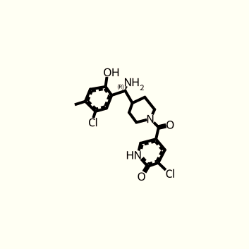 Cc1cc(O)c([C@H](N)C2CCN(C(=O)c3c[nH]c(=O)c(Cl)c3)CC2)cc1Cl